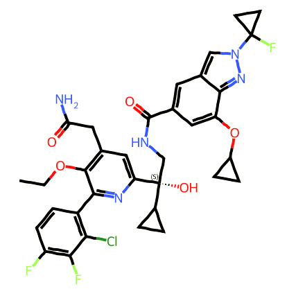 CCOc1c(CC(N)=O)cc([C@@](O)(CNC(=O)c2cc(OC3CC3)c3nn(C4(F)CC4)cc3c2)C2CC2)nc1-c1ccc(F)c(F)c1Cl